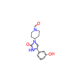 O=CN1CCC(n2cc(-c3cccc(O)c3)[nH]c2=O)CC1